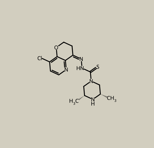 C[C@@H]1CN(C(=S)N/N=C2/CCOc3c(Cl)ccnc32)C[C@H](C)N1